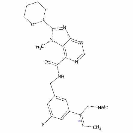 C/C=C(\CNC)c1cc(F)cc(CNC(=O)c2ncnc3nc(C4CCCCO4)n(C)c23)c1